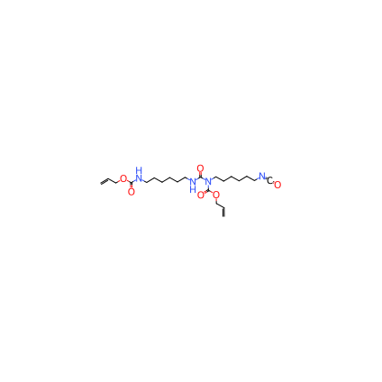 C=CCOC(=O)NCCCCCCNC(=O)N(CCCCCCN=C=O)C(=O)OCC=C